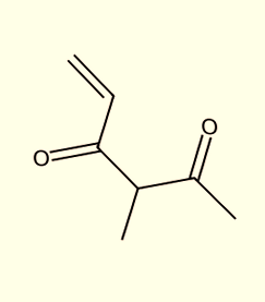 C=CC(=O)C(C)C(C)=O